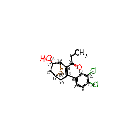 CCC(=O)C1=C(c2ccc(Cl)c(Cl)c2)CC2CC(O)C1S2